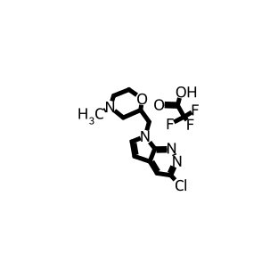 CN1CCOC(Cn2ccc3cc(Cl)nnc32)C1.O=C(O)C(F)(F)F